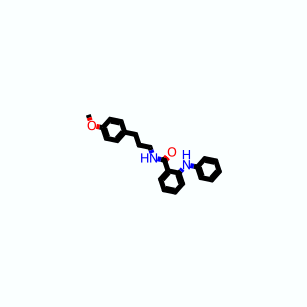 COc1ccc(CCCNC(=O)c2ccccc2Nc2ccccc2)cc1